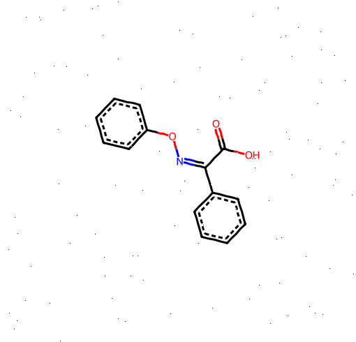 O=C(O)/C(=N\Oc1ccccc1)c1ccccc1